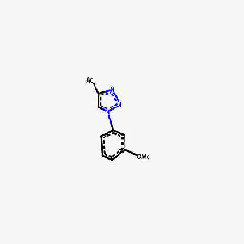 COc1cccc(-n2cc(C(C)=O)nn2)c1